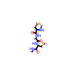 CNC(=O)C(CS)NC(=O)CNC(=O)C(CS)NC